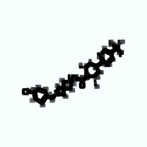 C[C@@H]1CN(c2ncc(C(F)(F)F)cn2)C[C@H](C)N1C(=O)NC1CC2(C1)CN(Cc1ccc(Cl)cc1)C2